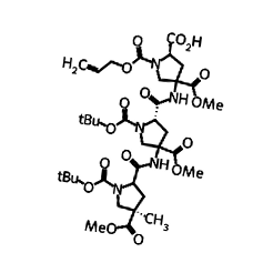 C=CCOC(=O)N1CC(NC(=O)[C@@H]2CC(NC(=O)C3C[C@@](C)(C(=O)OC)CN3C(=O)OC(C)(C)C)(C(=O)OC)CN2C(=O)OC(C)(C)C)(C(=O)OC)C[C@@H]1C(=O)O